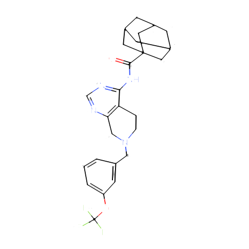 O=C(Nc1ncnc2c1CCN(Cc1cccc(OC(F)(F)F)c1)C2)C12CC3CC(CC(C3)C1)C2